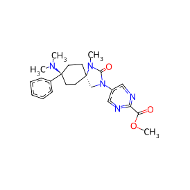 COC(=O)c1ncc(N2C[C@]3(CC[C@](c4ccccc4)(N(C)C)CC3)N(C)C2=O)cn1